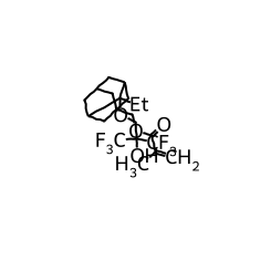 C=C(C)C(=O)OCC12CC3CC(C1)C(CC)(OCC(O)(C(F)(F)F)C(F)(F)F)C(C3)C2